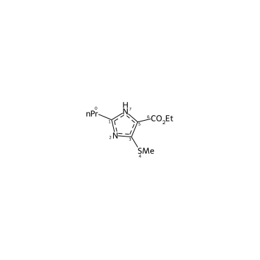 CCCc1nc(SC)c(C(=O)OCC)[nH]1